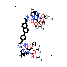 COC(=O)N[C@H](C(=O)N1[C@@H]2C[C@@H]2C[C@H]1c1ncc(-c2ccc(-c3ccc4cc(-c5cnc([C@@H]6C[C@H]7C[C@H]7N6C(=O)[C@@H](NC(=O)OC)[C@@H](C)OC)[nH]5)ccc4c3)cc2)[nH]1)[C@@H](C)OC